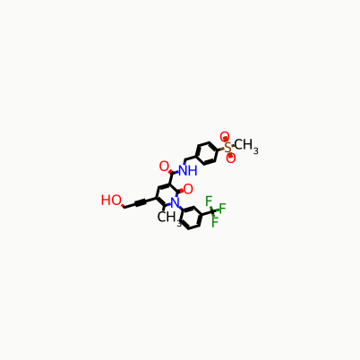 Cc1c(C#CCO)cc(C(=O)NCc2ccc(S(C)(=O)=O)cc2)c(=O)n1-c1cccc(C(F)(F)F)c1